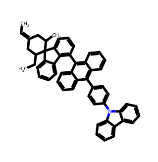 CC=C1CC(C)C2(c3ccccc3-c3c(-c4c5ccccc5c(-c5ccc(-n6c7ccccc7c7ccccc76)cc5)c5ccccc45)cccc32)C(CC)C1